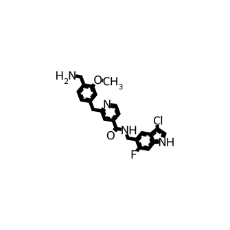 COc1cc(Cc2cc(C(=O)NCc3cc4c(Cl)c[nH]c4cc3F)ccn2)ccc1CN